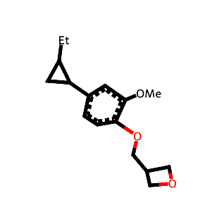 CCC1CC1c1ccc(OCC2COC2)c(OC)c1